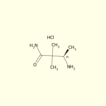 C[C@@H](N)C(C)(C)C(N)=O.Cl